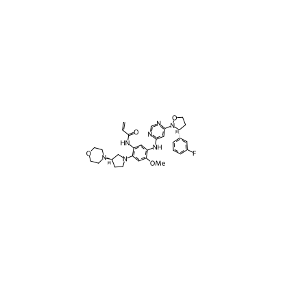 C=CC(=O)Nc1cc(Nc2cc(N3OCC[C@@H]3c3cccc(F)c3)ncn2)c(OC)cc1N1CC[C@@H](N2CCOCC2)C1